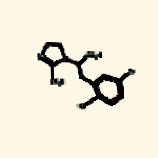 O=C(O)C1=NCCN1C(Cc1cc(Br)ccc1O)C(=O)O